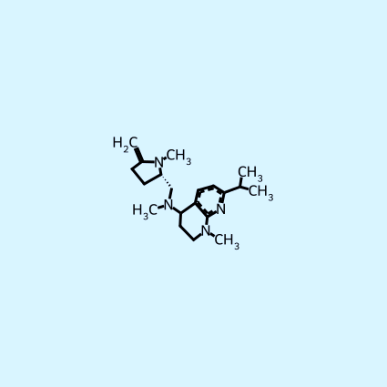 C=C1CC[C@@H](CN(C)C2CCN(C)c3nc(C(C)C)ccc32)N1C